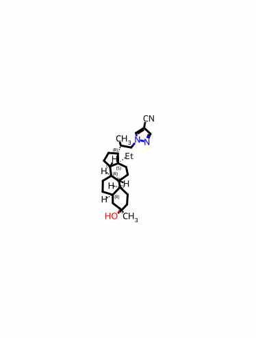 CC[C@]12CC[C@H]3[C@@H](CC[C@@H]4C[C@](C)(O)CC[C@@H]43)[C@@H]1CC[C@@H]2C(C)Cn1cc(C#N)cn1